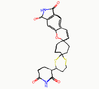 O=C1CCC(C2CCSC3(CCC4(C=Cc5cc6c(cc5O4)C(=O)NC6=O)CC3)S2)C(=O)N1